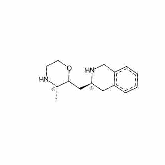 C[C@@H]1NCCOC1C[C@@H]1Cc2ccccc2CN1